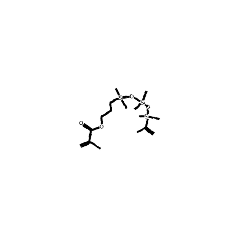 C=C(C)C(=O)OCCC[Si](C)(C)O[Si](C)(C)O[Si](C)(C)C(=C)C